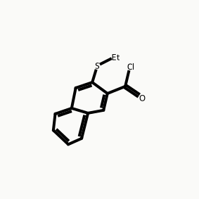 CCSc1cc2ccccc2cc1C(=O)Cl